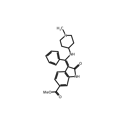 COC(=O)c1ccc2c(c1)NC(=O)/C2=C(\NC1CCN(C)CC1)c1ccccc1